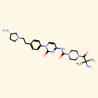 CC(C)(N)C(=O)N1CCN(C(=O)Nc2ccn(-c3ccc(CCN4CC[C@H](N)C4)cc3)c(=O)n2)CC1